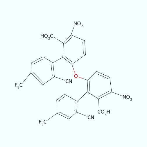 N#Cc1cc(C(F)(F)F)ccc1-c1c(Oc2ccc([N+](=O)[O-])c(C(=O)O)c2-c2ccc(C(F)(F)F)cc2C#N)ccc([N+](=O)[O-])c1C(=O)O